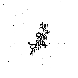 C#CCCC(NC(=O)[C@@H]1C2C(CN1C(=O)[C@@H](NC(=O)N[C@H](COC(=O)NC(C)C)C(C)(C)C)C1(C)CCCCC1)C2(C)C)C(=O)C(=O)NCC=C